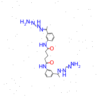 CC(=NNC=NN)c1cccc(NC(=O)CCCC(=O)Nc2cccc(C(C)=NNC=NN)c2)c1